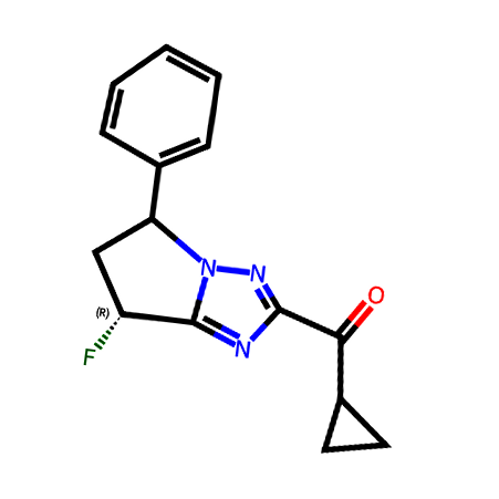 O=C(c1nc2n(n1)C(c1ccccc1)C[C@H]2F)C1CC1